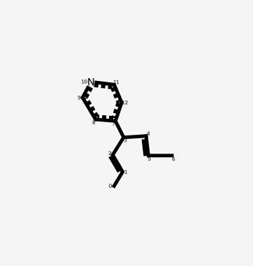 CC=CC(C=CC)c1ccncc1